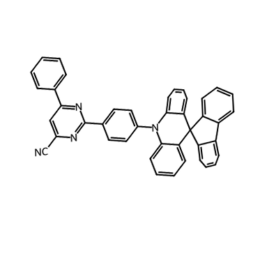 N#Cc1cc(-c2ccccc2)nc(-c2ccc(N3c4ccccc4C4(c5ccccc5-c5ccccc54)c4ccccc43)cc2)n1